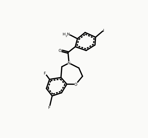 Nc1cc(I)ccc1C(=O)N1CCOc2cc(F)cc(F)c2C1